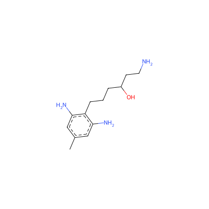 Cc1cc(N)c(CCCC(O)CCN)c(N)c1